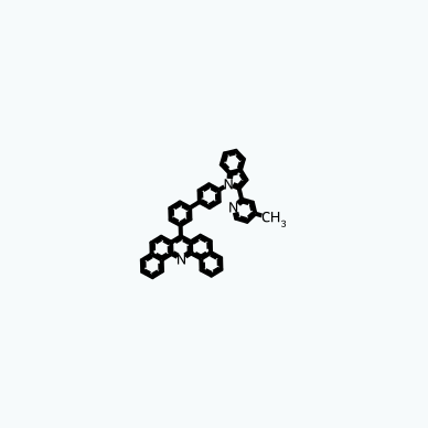 Cc1ccnc(-c2cc3ccccc3n2-c2ccc(-c3cccc(-c4c5ccc6ccccc6c5nc5c4ccc4ccccc45)c3)cc2)c1